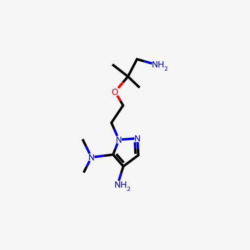 CN(C)c1c(N)cnn1CCOC(C)(C)CN